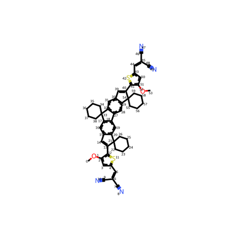 COc1cc(C=C(C#N)C#N)sc1C1=Cc2cc3c(cc2C12CCCCC2)-c1cc2c(cc1C31CCCCC1)C=C(c1sc(C=C(C#N)C#N)cc1OC)C21CCCCC1